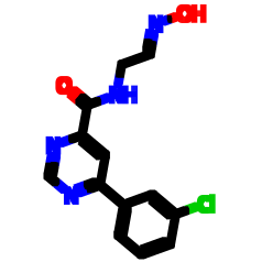 O=C(NCC=NO)c1cc(-c2cccc(Cl)c2)ncn1